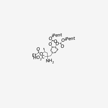 CCCC(C)OC(=O)Oc1ccc(CC(N)(C[C@H](C)OC(=O)CC)C(=O)O)cc1OC(=O)OC(C)CCC